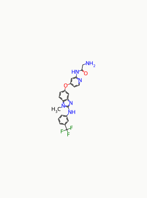 Cn1c(Nc2cccc(C(F)(F)F)c2)nc2cc(Oc3ccnc(NC(=O)CN)c3)ccc21